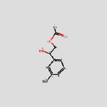 CCC(=O)OCC(O)c1cccc(C(C)(C)C)c1